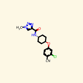 Cn1cc(C(=O)N[C@H]2CC[C@H](Oc3ccc(C#N)c(Cl)c3)CC2)nn1